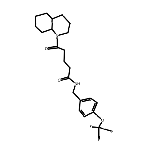 O=C(CCCC(=O)N1CCCC2CCCCC21)NCc1ccc(OC(F)(F)F)cc1